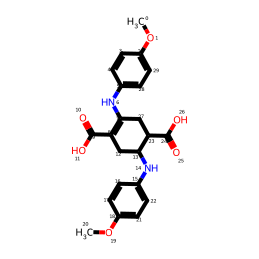 COc1ccc(NC2=C(C(=O)O)CC(Nc3ccc(OC)cc3)C(C(=O)O)C2)cc1